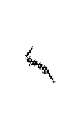 CCCCCCCCCC1=C(C(F)(F)F)CC(c2ccc(-c3ccc(-c4ccc(OC(C)CCCCCC)cc4)c(Cl)c3)cc2)CC1